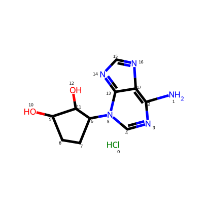 Cl.Nc1ncn(C2CCC(O)C2O)c2ncnc1-2